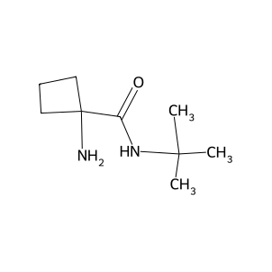 CC(C)(C)NC(=O)C1(N)CCC1